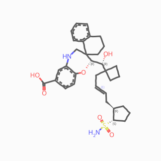 NS(=O)(=O)[C@H]1CCC[C@@H]1C/C=C/CC1([C@@H](O)[C@@H]2Oc3ccc(C(=O)O)cc3NCC23CCCc2ccccc23)CCC1